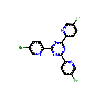 Brc1ccc(-c2nc(-c3ccc(Br)cn3)nc(-c3ccc(Br)cn3)n2)nc1